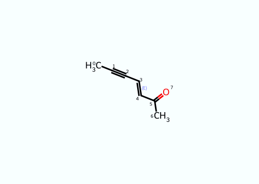 CC#C/C=C/C(C)=O